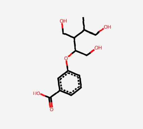 CC(CO)C(CO)C(CO)Oc1cccc(C(=O)O)c1